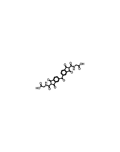 O=C(O)CNC(=O)C1C(=O)c2ccc(C(=O)c3ccc4c(c3)C(=O)C(C(=O)NCC(=O)O)C4=O)cc2C1=O